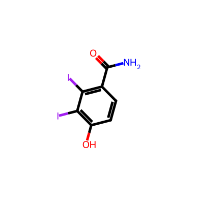 NC(=O)c1ccc(O)c(I)c1I